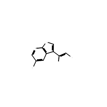 N/C=C(\O)c1c[nH]c2ncc(Br)cc12